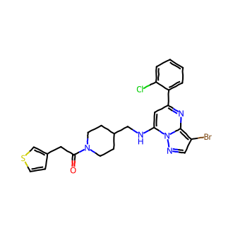 O=C(Cc1ccsc1)N1CCC(CNc2cc(-c3ccccc3Cl)nc3c(Br)cnn23)CC1